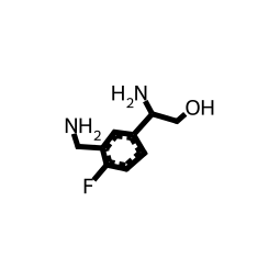 NCc1cc(C(N)CO)ccc1F